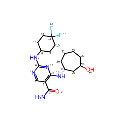 NC(=O)c1cnc(NC2CCC(F)(F)CC2)nc1N[C@@H]1CCCCC(O)C1